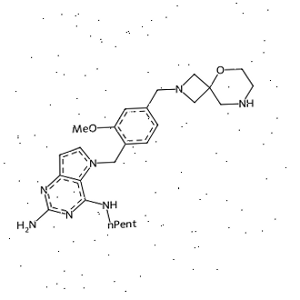 CCCCCNc1nc(N)nc2ccn(Cc3ccc(CN4CC5(CNCCO5)C4)cc3OC)c12